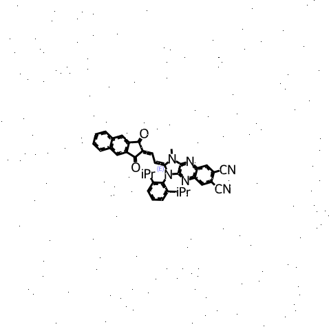 CC(C)c1cccc(C(C)C)c1N1/C(=C/C=C2C(=O)c3cc4ccccc4cc3C2=O)N(C)c2nc3cc(C#N)c(C#N)cc3nc21